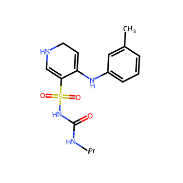 Cc1cccc(NC2=CCNC=C2S(=O)(=O)NC(=O)NC(C)C)c1